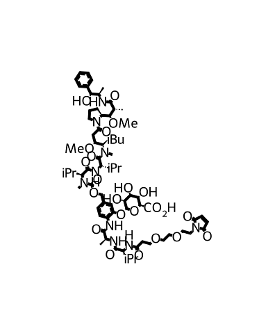 CC[C@H](C)[C@@H]([C@@H](CC(=O)N1CCC[C@H]1[C@H](OC)[C@@H](C)C(=O)N[C@H](C)[C@@H](O)c1ccccc1)OC)N(C)C(=O)[C@@H](NC(=O)[C@H](C(C)C)N(C)C(=O)OCc1ccc(NC(=O)[C@H](C)NC(=O)[C@@H](NC(=O)CCOCCOCCN2C(=O)C=CC2=O)C(C)C)c(O[C@@H]2O[C@H](C(=O)O)[C@@H](O)[C@H](O)[C@H]2O)c1)C(C)C